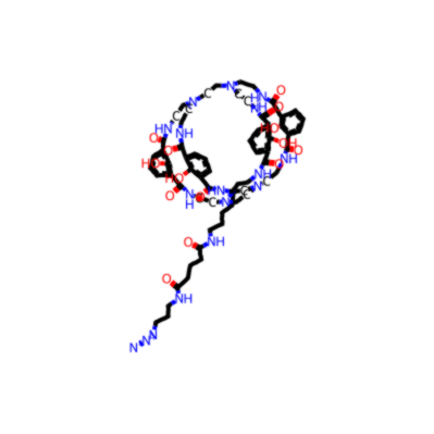 [N-]=[N+]=NCCCNC(=O)CCCC(=O)NCCCCC1CN2CCNC(=O)c3cccc(c3O)C(=O)NCCN3CCNC(=O)c4cccc(c4O)C(=O)NCCN(CCNC(=O)c4cccc(c4O)C(=O)NCCN(CCNC(=O)c4cccc(c4O)C(=O)N1)CC3)CC2